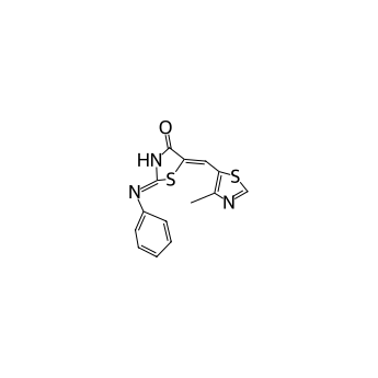 Cc1ncsc1C=C1SC(=Nc2ccccc2)NC1=O